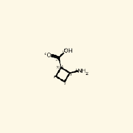 NC1CC[C@H]1C(=O)O